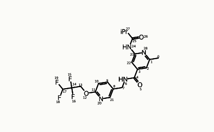 Cc1cc(C(=O)NCc2ccc(OCC(F)(F)C(F)F)nc2)cc(NC(=O)C(C)C)n1